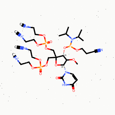 [C-]#[N+]CCOP(=O)(OCC[N+]#[C-])OCC1(COP(=O)(OCC[N+]#[C-])OCC[N+]#[C-])O[C@@H](n2ccc(=O)[nH]c2=O)C(OC)[C@H]1OP(OCCC#N)N(C(C)C)C(C)C